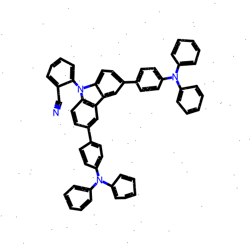 N#Cc1ccccc1-n1c2ccc(-c3ccc(N(c4ccccc4)c4ccccc4)cc3)cc2c2cc(-c3ccc(N(c4ccccc4)c4ccccc4)cc3)ccc21